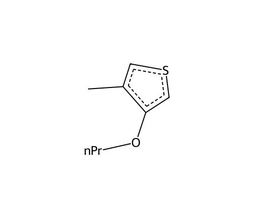 CCCOc1cscc1C